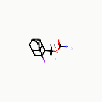 CC(C)(OC(N)=O)C1C2CC3CC(C2)CC1(I)C3